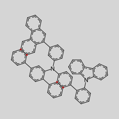 c1ccc(-c2ccc(-c3ccccc3)c(N(c3ccc(-c4ccccc4-n4c5ccccc5c5ccccc54)cc3)c3cccc(-c4cc5ccccc5c5ccccc45)c3)c2)cc1